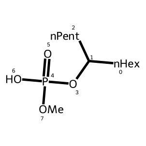 CCCCCCC(CCCCC)OP(=O)(O)OC